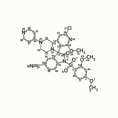 COc1ccc(S(=O)(=O)N2C(=O)C(c3ccc(Cl)nc3OC)(N3CCN(c4ccncc4)CC3)c3cc(C#N)ccc32)c(OC)c1